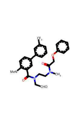 CNc1ccc(-c2cccc(C(F)(F)F)c2)cc1C(=O)N(CC=O)CCN(C)C(=O)COc1ccccc1